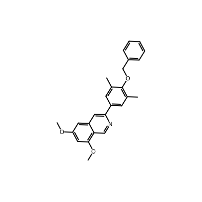 COc1cc(OC)c2cnc(-c3cc(C)c(OCc4ccccc4)c(C)c3)cc2c1